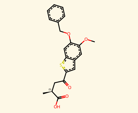 COc1cc2cc(C(=O)C[C@H](C)C(=O)O)sc2cc1OCc1ccccc1